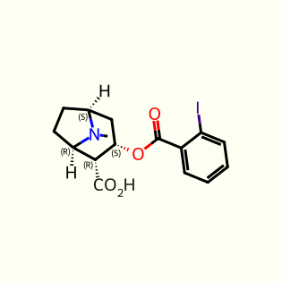 CN1[C@H]2CC[C@@H]1[C@@H](C(=O)O)[C@@H](OC(=O)c1ccccc1I)C2